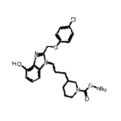 CCCCOC(=O)N1CCCC(CCCn2c(COc3ccc(Cl)cc3)nc3c(O)cccc32)C1